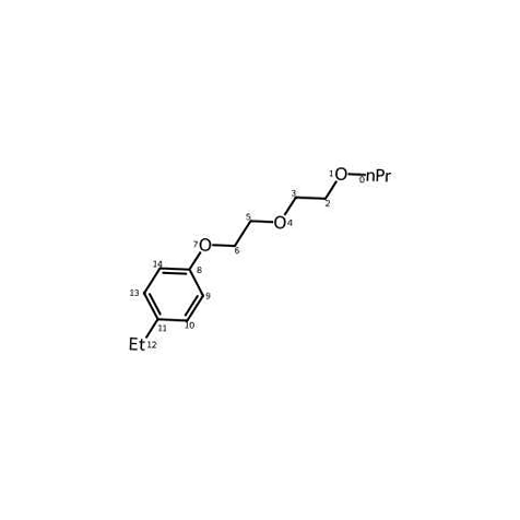 CCCOCCOCCOc1ccc(CC)cc1